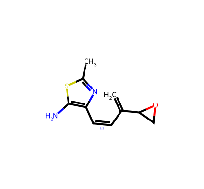 C=C(/C=C\c1nc(C)sc1N)C1CO1